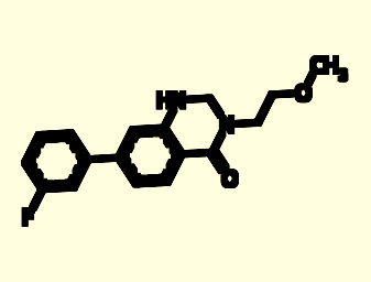 COCCN1CNc2cc(-c3cccc(F)c3)ccc2C1=O